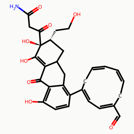 NC(=O)CC(=O)[C@@]1(O)C(O)=C2C(=O)c3c(O)ccc(/C4=C/C=C(/C=O)C/C=C\C=C/C4)c3CC2C[C@H]1CCO